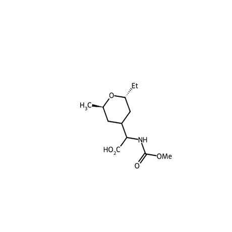 CC[C@@H]1CC(C(NC(=O)OC)C(=O)O)C[C@@H](C)O1